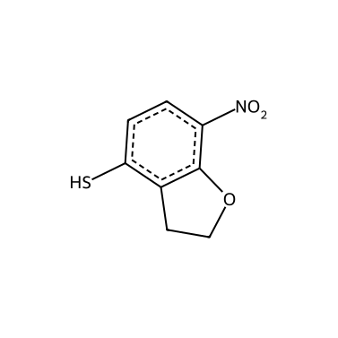 O=[N+]([O-])c1ccc(S)c2c1OCC2